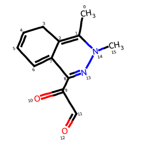 CC1=C2CC=CC=C2C(C(=O)C=O)=NN1C